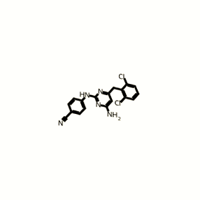 N#Cc1ccc(Nc2nc(N)cc(Cc3c(Cl)cccc3Cl)n2)cc1